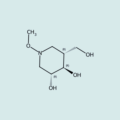 CON1C[C@H](CO)[C@@H](O)[C@H](O)C1